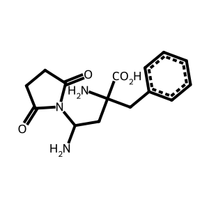 NC(CC(N)(Cc1ccccc1)C(=O)O)N1C(=O)CCC1=O